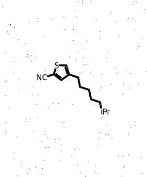 CC(C)CCCCCc1csc(C#N)c1